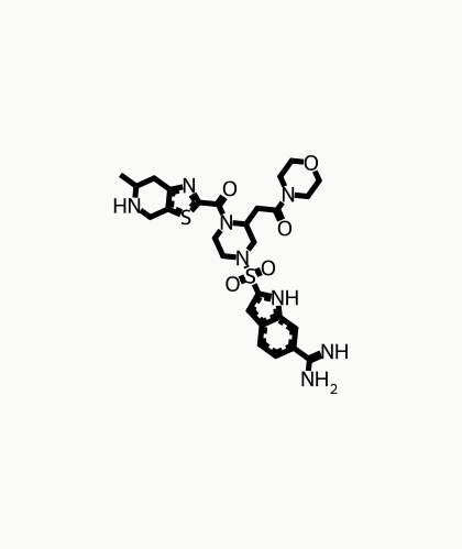 CC1Cc2nc(C(=O)N3CCN(S(=O)(=O)c4cc5ccc(C(=N)N)cc5[nH]4)CC3CC(=O)N3CCOCC3)sc2CN1